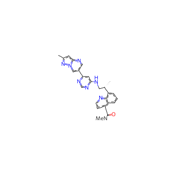 CNC(=O)c1ccnc2c([C@@H](C)CNc3cc(-c4cnc5cc(C)nn5c4)ncn3)cccc12